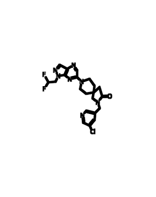 O=C1CC2(CCN(c3cnc4cnn(CC(F)F)c4n3)CC2)CN1Cc1cncc(Cl)c1